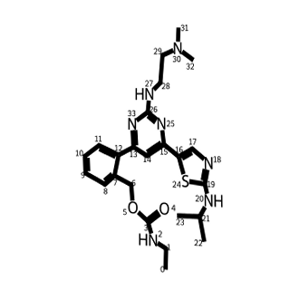 CCNC(=O)OCc1ccccc1-c1cc(-c2cnc(NC(C)C)s2)nc(NCCN(C)C)n1